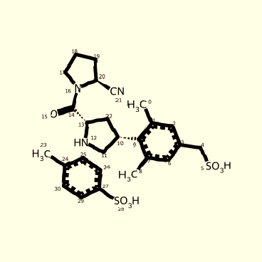 Cc1cc(CS(=O)(=O)O)cc(C)c1[C@@H]1CN[C@H](C(=O)N2CCC[C@H]2C#N)C1.Cc1ccc(S(=O)(=O)O)cc1